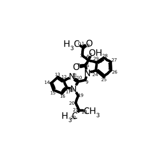 CC(=O)CC1(O)C(=O)N(Cc2nc3ccccc3n2CCC(C)C)c2ccccc21